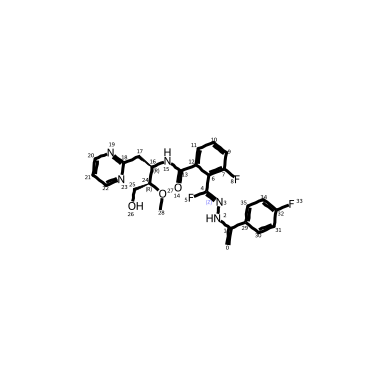 C=C(N/N=C(\F)c1c(F)cccc1C(=O)N[C@H](Cc1ncccn1)[C@H](CO)OC)c1ccc(F)cc1